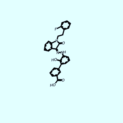 O=C(O)c1cccc(-c2cccc(N/N=C3\C(=O)N(CCc4ccccc4F)c4ccccc43)c2O)c1